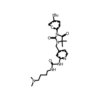 CN(C)CCCCNC(=O)Nc1cc(CN2C(=O)N(c3ccc(C(C)(C)C)cc3)C(=O)C2(C)C)ccn1